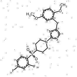 COc1ccc(OC)c(Cc2csc(N3CCC(S(=O)(=O)c4ccc(F)cc4F)CC3)n2)c1